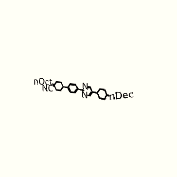 CCCCCCCCCCC1CCC(c2cnc(-c3ccc(C4CCC(C#N)(CCCCCCCC)CC4)cc3)nc2)CC1